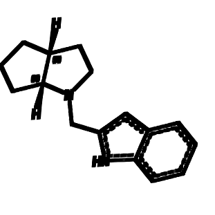 c1ccc2[nH]c(CN3CC[C@H]4CCC[C@H]43)cc2c1